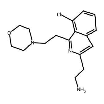 NCCc1cc2cccc(Cl)c2c(CCN2CCOCC2)n1